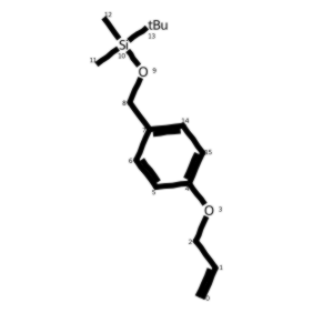 C=CCOc1ccc(CO[Si](C)(C)C(C)(C)C)cc1